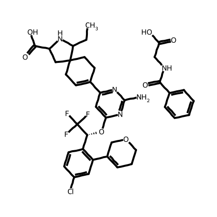 CCC1NC(C(=O)O)CC12CC=C(c1cc(O[C@H](c3ccc(Cl)cc3C3=CCCOC3)C(F)(F)F)nc(N)n1)CC2.O=C(O)CNC(=O)c1ccccc1